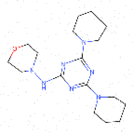 C1CCN(c2nc(NN3CCOCC3)nc(N3CCCCC3)n2)CC1